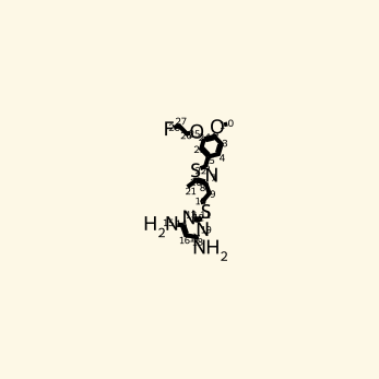 COc1ccc(-c2nc(CCSc3nc(N)cc(N)n3)c(C)s2)cc1OCCF